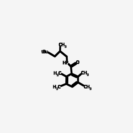 Cc1cc(C)c(C)c(C(=O)PCC(C)CC(C)(C)C)c1C